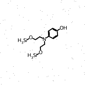 Oc1ccc(N(CCO[SiH3])CCO[SiH3])cc1